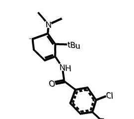 CN(C)C1=C(C(C)(C)C)C(NC(=O)c2ccc(F)c(Cl)c2)=CC[CH]1